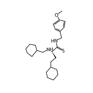 COc1ccc(CNC(=S)[C@@H](CCC2CCCCC2)NCC2CCCCC2)cc1